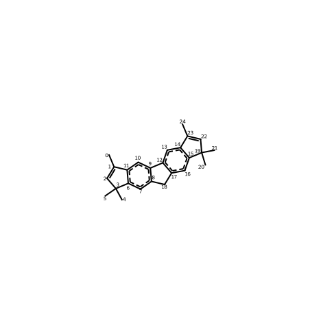 CC1=CC(C)(C)c2cc3c(cc21)-c1cc2c(cc1C3)C(C)(C)C=C2C